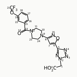 O=C(O)Cn1nnc(-c2cc(N3CCN(C(=O)c4cccc(OC(F)(F)F)c4)CC3)no2)n1